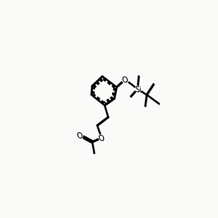 CC(=O)OCCc1cccc(O[Si](C)(C)C(C)(C)C)c1